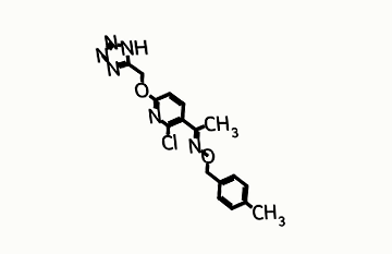 C/C(=N\OCc1ccc(C)cc1)c1ccc(OCc2nnn[nH]2)nc1Cl